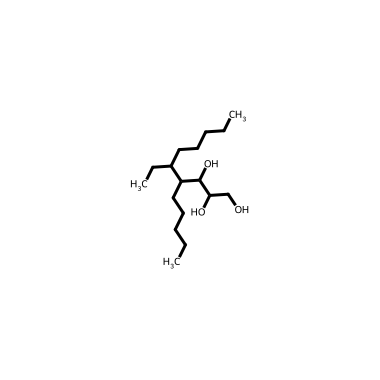 CCCCCC(CC)C(CCCCC)C(O)C(O)CO